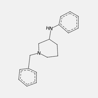 c1ccc(CN2CCCC(Nc3ccccc3)C2)cc1